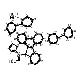 C/[CH]=[Zr](\[C]1=CC=CC1)[CH]1c2ccccc2-c2c1c1ccccc1c1ccccc21.Cl.Cl.c1ccc(-c2ccccc2)cc1.c1ccc(-c2ccccc2)cc1